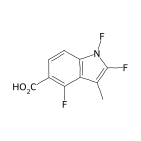 Cc1c(F)n(F)c2ccc(C(=O)O)c(F)c12